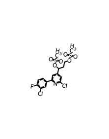 CS(=O)(=O)OCCC(OS(C)(=O)=O)c1cc(Cl)nc(-c2ccc(F)c(Cl)c2)c1